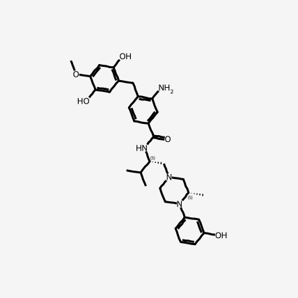 COc1cc(O)c(Cc2ccc(C(=O)N[C@H](CN3CCN(c4cccc(O)c4)[C@@H](C)C3)C(C)C)cc2N)cc1O